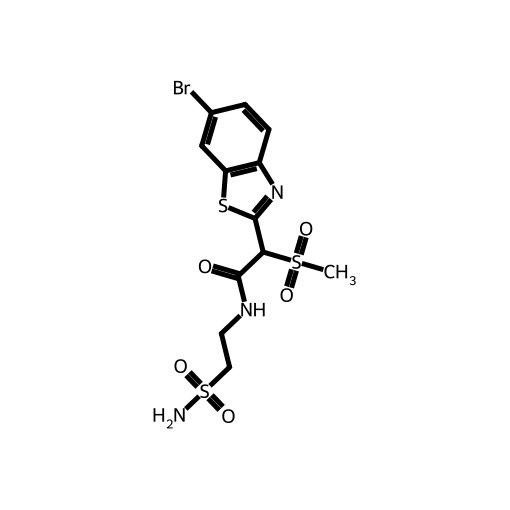 CS(=O)(=O)C(C(=O)NCCS(N)(=O)=O)c1nc2ccc(Br)cc2s1